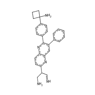 N=CC(CN)c1ccc2nc(-c3ccc(C4(N)CCC4)cc3)c(-c3ccccc3)cc2n1